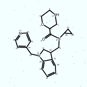 O=C(C1CNCCO1)N(CC1CN(Cc2ccncc2)c2ccccc21)C1CC1